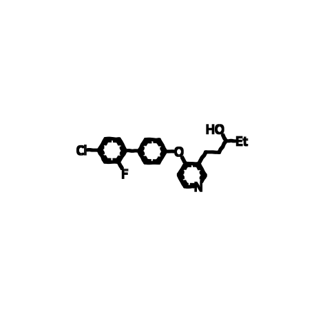 CCC(O)CCc1cnccc1Oc1ccc(-c2ccc(Cl)cc2F)cc1